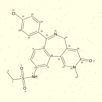 CCS(=O)(=O)Nc1ccc2c(c1)-c1cn(C)c(=O)cc1CN=C2c1ccc(Cl)cc1